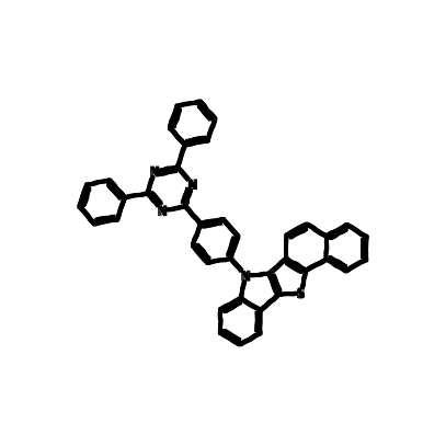 c1ccc(-c2nc(-c3ccccc3)nc(-c3ccc(-n4c5ccccc5c5sc6c7ccccc7ccc6c54)cc3)n2)cc1